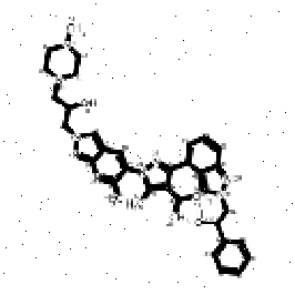 Cc1nc2nn(CC(O)CN3CCN(C)CC3)cc2cc1-n1nc(-c2cccc3nn(C[C@H](O)c4ccccc4)cc23)c(C(C)C)c1C